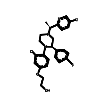 C[C@H](c1ccc(Cl)cn1)N1CCN(c2ccc(OCCO)cc2Cl)[C@H](c2ccc(F)cc2)C1